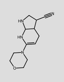 N#CC1CNC2NC(N3CCOCC3)=CCC12